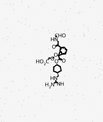 N=C(N)NC[C@H]1CC[C@H](OC(=O)C2(OOCC(=O)O)c3cccc(C(=O)CNC=O)c32)CC1